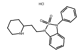 Cl.O=S1(=O)N(CCC2CCCCN2)c2ccccc2N1c1ccccc1